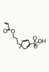 C=CC(=O)OCCCC1(C)C=CC(S(=O)(=O)O)=CC1